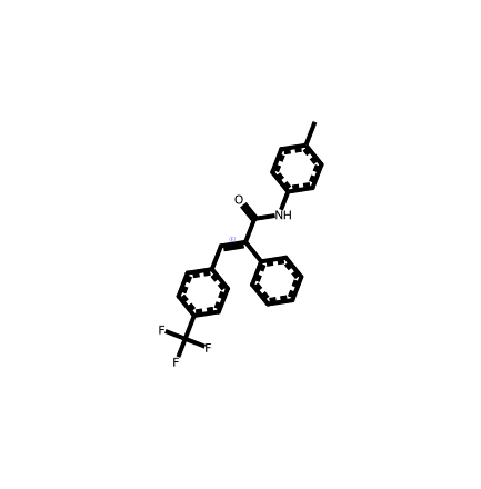 Cc1ccc(NC(=O)/C(=C/c2ccc(C(F)(F)F)cc2)c2ccccc2)cc1